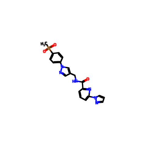 CS(=O)(=O)c1ccc(-n2cc(CNC(=O)c3cccc(-n4cccn4)n3)cn2)cc1